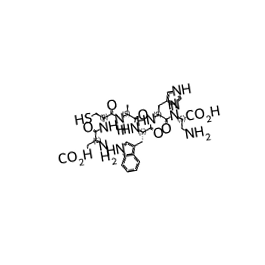 C[C@H](NC(=O)[C@H](CS)NC(=O)[C@@H](N)CC(=O)O)C(=O)N[C@@H](Cc1c[nH]c2ccccc12)C(=O)N[C@@H](Cc1c[nH]cn1)C(=O)N[C@@H](CN)C(=O)O